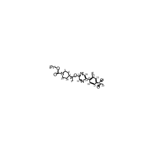 CC(C)OC(=O)N1CCC([C@H](C)Oc2cnc(-c3ccc(S(C)(=O)=O)cc3F)cn2)CC1